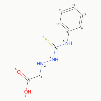 O=C(O)CNNC(=S)Nc1ccccc1